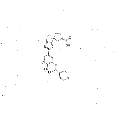 CC(Oc1cc(-c2cc3n(n2)CC[C@@]32CCN(C(=O)O)C2)cnc1N)c1ccncc1